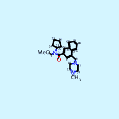 COCN(C(=O)c1cc(CN2CCN(C)CC2)c2ccccc2c1)C1CCCC1